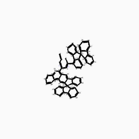 C=C/C=C(\C=C(/C)c1cccc2c1-c1ccccc1C21c2ccccc2-c2ccccc21)c1nc2ccccc2c2cc3c(cc12)-c1ccccc1C31c2ccccc2-c2ccccc21